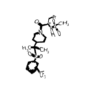 CC(C)C[C@@H](NS(C)(=O)=O)C(=O)N1CCC(C(C)(C)S(=O)(=O)c2cccc(C(F)(F)F)c2)CC1